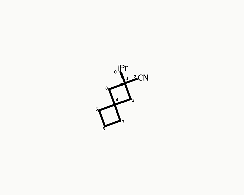 CC(C)C1(C#N)CC2(CCC2)C1